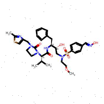 COCCN(C[C@@H](O)[C@H](Cc1ccccc1)NC(=O)[C@H](C(C)C)N1CCN(Cc2csc(C)n2)C1=O)S(=O)(=O)c1ccc(/C=N/O)cc1